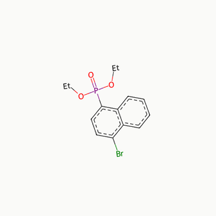 CCOP(=O)(OCC)c1ccc(Br)c2ccccc12